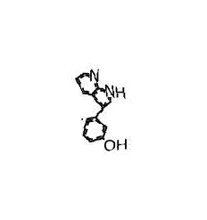 Oc1cc[c]c(-c2c[nH]c3ncccc23)c1